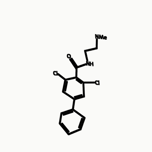 CNCCNC(=O)c1c(Cl)cc(-c2ccccc2)cc1Cl